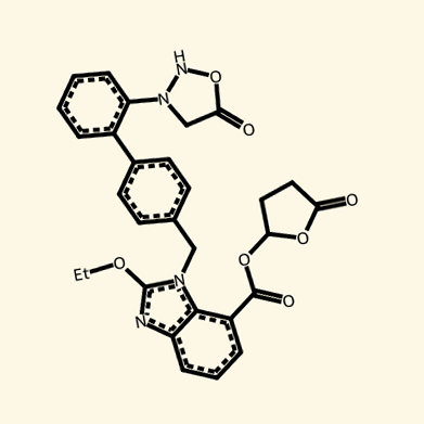 CCOc1nc2cccc(C(=O)OC3CCC(=O)O3)c2n1Cc1ccc(-c2ccccc2N2CC(=O)ON2)cc1